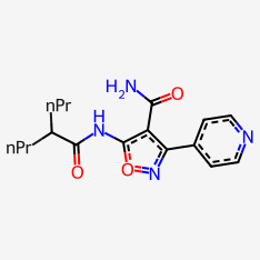 CCCC(CCC)C(=O)Nc1onc(-c2ccncc2)c1C(N)=O